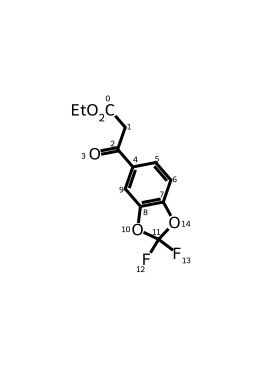 CCOC(=O)CC(=O)c1ccc2c(c1)OC(F)(F)O2